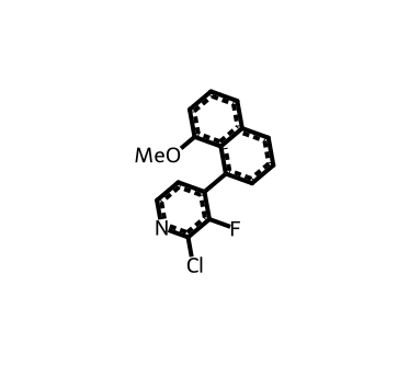 COc1cccc2cccc(-c3ccnc(Cl)c3F)c12